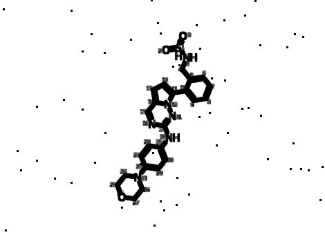 O=[SH](=O)NCc1ccccc1-c1ccc2cnc(Nc3ccc(N4CCOCC4)cc3)nn12